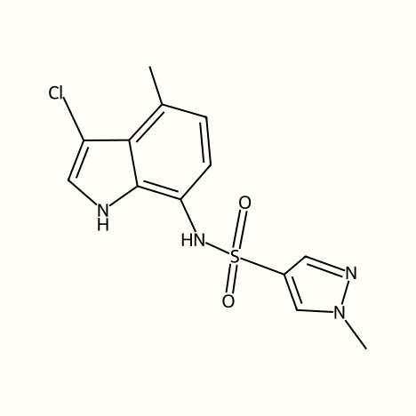 Cc1ccc(NS(=O)(=O)c2cnn(C)c2)c2[nH]cc(Cl)c12